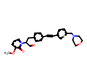 COc1cccn(C(C=O)Cc2ccc(C#Cc3ccc(CN4CCOCC4)cc3)cc2)c1=O